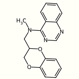 CN(CC1COc2ccccc2O1)c1ncnc2ccccc12